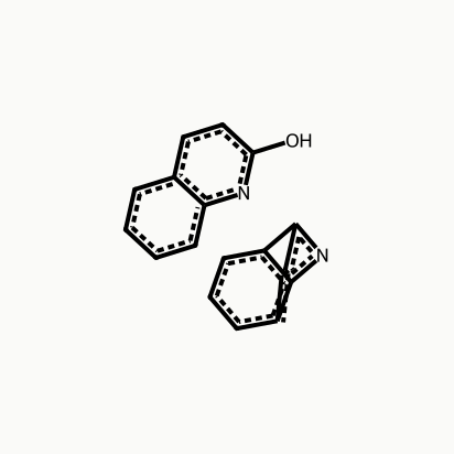 Oc1ccc2ccccc2n1.c1cc2c3nc-2ccc3c1